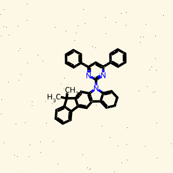 CC1(C)c2ccccc2-c2cc3c4c(n(-c5nc(-c6ccccc6)cc(-c6ccccc6)n5)c3cc21)=CCCC=4